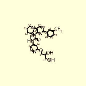 O=C(Nc1cnnc(OCC(O)CO)c1)N1c2nc(-c3cccc(C(F)(F)F)c3)ncc2N2CCC[C@H]1C2